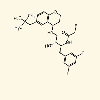 CC(C)(C)Cc1ccc2c(c1)[C@H](NC[C@@H](O)[C@H](Cc1cc(F)cc(F)c1)NC(=O)CF)CCO2